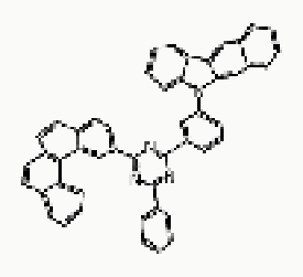 c1ccc(-c2nc(-c3cccc(-n4c5ccccc5c5cc6ccccc6cc54)c3)nc(-c3ccc4ccc5ccc6ccccc6c5c4c3)n2)cc1